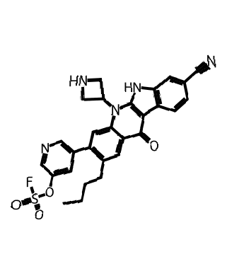 CCCCc1cc2c(=O)c3c4ccc(C#N)cc4[nH]c3n(C3CNC3)c2cc1-c1cncc(OS(=O)(=O)F)c1